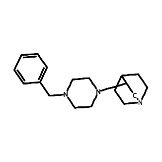 c1ccc(CN2CCN(C3CN4CCC3CC4)CC2)cc1